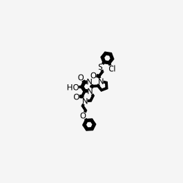 O=C1c2c(O)c(=O)nc(C3CCCN3C(=O)CSc3ccccc3Cl)n2CCN1CCOc1ccccc1